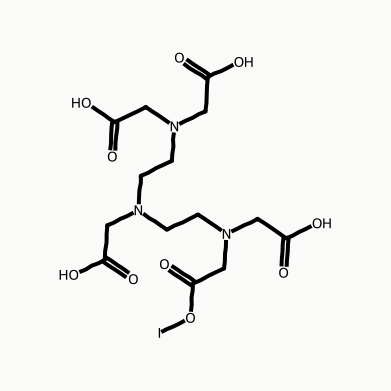 O=C(O)CN(CCN(CC(=O)O)CC(=O)O)CCN(CC(=O)O)CC(=O)OI